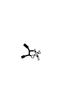 C#CC1OS(=S)(=S)SC1C#C